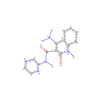 CN(C)c1c(C(=O)N(C)c2cnccn2)c(=O)n(C)c2ccccc12